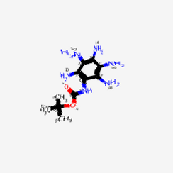 CC(C)(C)OC(=O)Nc1c(N)c(N)c(N)c(N)c1N